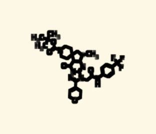 C[C@@H]1CC2(CCN(C(=O)OC(C)(C)C)CC2)c2c1nc1n(CC(=O)Nc3ccc(C(F)(F)F)cc3)c(C3=CCOCC3)nn1c2=O